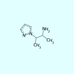 CC(N)C(C)n1cccn1